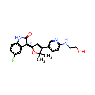 CC1(C)O/C(=C2/C(=O)Nc3ccc(F)cc32)C=C1c1ccc(NCCO)nc1